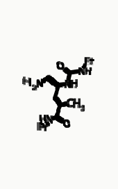 CCNC(=O)NC(=C/N)/C=C(\C)C(=O)NC(C)C